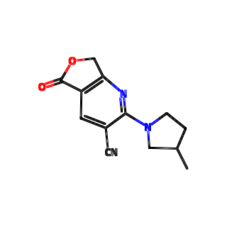 CC1CCN(c2nc3c(cc2C#N)C(=O)OC3)C1